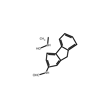 C.CBO.O=CNc1ccc2c(c1)Cc1ccccc1-2